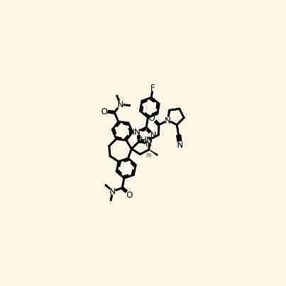 C[C@@H](CC1(c2nnc(-c3ccc(F)cc3)[nH]2)c2ccc(C(=O)N(C)C)cc2CCc2cc(C(=O)N(C)C)ccc21)NCC(=O)N1CCCC1C#N